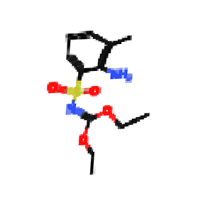 CCOC(=NS(=O)(=O)c1cccc(C)c1N)OCC